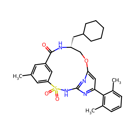 Cc1cc2cc(c1)S(=O)(=O)Nc1nc(cc(-c3c(C)cccc3C)n1)OC[C@@H](CC1CCCCC1)NC2=O